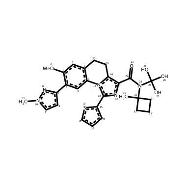 COc1cc2c(cc1-c1ccn(C)n1)-n1c(-c3cccs3)nc(C(=O)N(C(O)(O)O)C3(C)CCC3)c1CC2